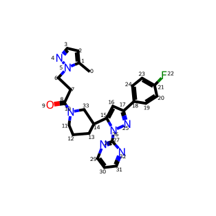 Cc1ccnn1CCC(=O)N1CCCC(c2cc(-c3ccc(F)cc3)nn2-c2ncccn2)C1